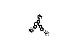 CCCCC(CC)COc1ccc2cc(N3c4ccc(B5OC(C)(C)C(C)(C)O5)cc4CCc4cc(B5OC(C)(C)C(C)(C)O5)ccc43)ccc2c1